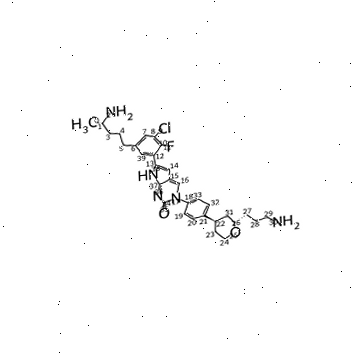 C[C@H](N)CCCc1cc(Cl)c(F)c(-c2cc3cn(-c4ccc([C@@H]5CCO[C@@H](CCCN)C5)cc4)c(=O)nc3[nH]2)c1